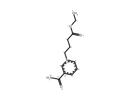 CCOC(=O)CCC[n+]1cccc(C(N)=O)c1